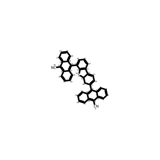 N#Cc1c2ccccc2c(C2=CC=C3c4cccc(-c5c6ccccc6c(C#N)c6ccccc56)c4SC3C2)c2ccccc12